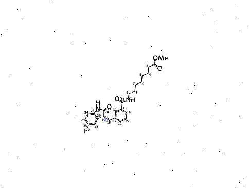 COC(=O)CCCCCCCNC(=O)c1cccc(/C=C2\C(=O)Nc3ccc(F)cc32)c1